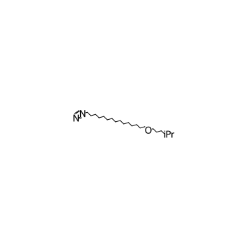 CC(C)CCCOCCCCCCCCCCCCCCCn1ccnc1